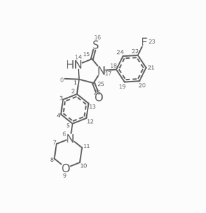 CC1(c2ccc(N3CCOCC3)cc2)NC(=S)N(c2cccc(F)c2)C1=O